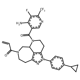 C=CC(=O)N1CCc2nn(-c3ccc(C4CC4)cc3)c3c2C(C1)N(C(=O)c1cnc(C(F)(F)F)c(F)c1N)CC3